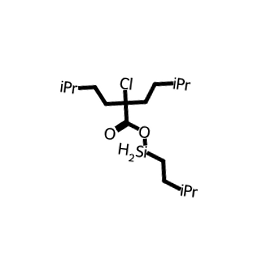 CC(C)CC[SiH2]OC(=O)C(Cl)(CCC(C)C)CCC(C)C